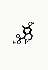 COc1cc2c(cc1C)C(C(=O)O)N(C)CC2